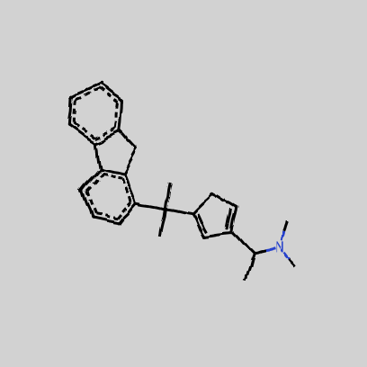 CC(C1=CCC(C(C)(C)c2cccc3c2Cc2ccccc2-3)=C1)N(C)C